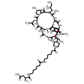 CC[C@H](C)[C@@H]1NC(=O)CNC(=O)[C@@H]2Cc3c([nH]c4c(CSC5CCN(C(=O)CCCCCNC(=O)CCCCCNC(=O)C(C)CC(=O)O)CC5)c(OC)ccc34)[S+]([O-])C[C@H](NC(=O)CNC1=O)C(=O)N[C@@H](CC(N)=O)C(=O)N1C[C@H](O)C[C@H]1C(=O)N[C@@H]([C@@H](C)[C@@H](O)CO)C(=O)N2